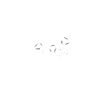 Fc1ccc(SC23CCNC2CCc2cc(OCc4c(F)cccc4Cl)ccc23)cc1